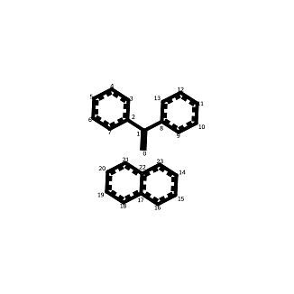 C=C(c1ccccc1)c1ccccc1.c1ccc2ccccc2c1